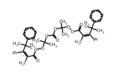 C/C(C(=O)OOC(C)(C)OC(=O)OC(C)(C)OOC(=O)/C(C)=C(/C(C)C)C(C)(C)c1ccccc1)=C(\C(C)C)C(C)(C)c1ccccc1